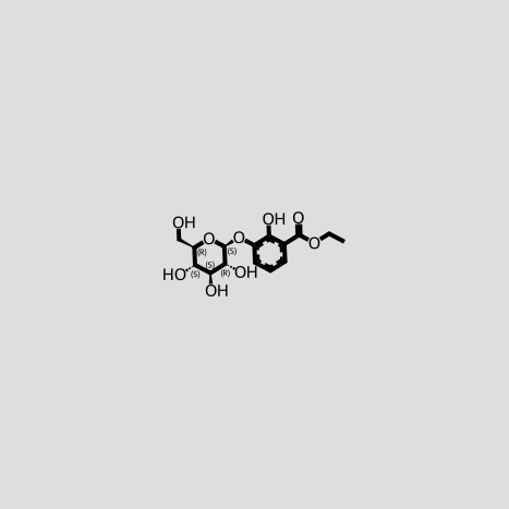 CCOC(=O)c1cccc(O[C@@H]2O[C@H](CO)[C@@H](O)[C@H](O)[C@H]2O)c1O